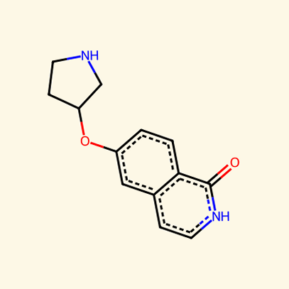 O=c1[nH]ccc2cc(OC3CCNC3)ccc12